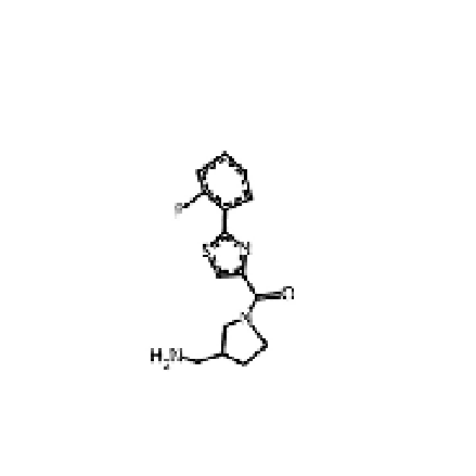 NCC1CCN(C(=O)c2csc(-c3ccccc3F)n2)C1